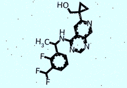 CC(Nc1ncnc2cnc(C3(CO)CC3)cc12)c1cccc(C(F)F)c1F